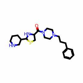 O=C(C1CSC(C2CCCNC2)N1)N1CCN(CCCc2ccccc2)CC1